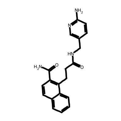 NC(=O)c1ccc2ccccc2c1C[CH]C(=O)NCc1ccc(N)nc1